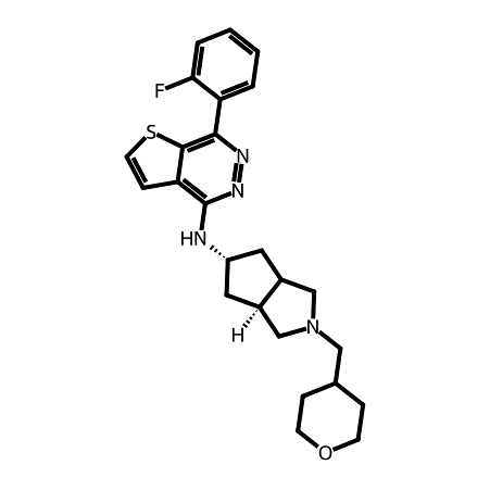 Fc1ccccc1-c1nnc(N[C@@H]2CC3CN(CC4CCOCC4)C[C@H]3C2)c2ccsc12